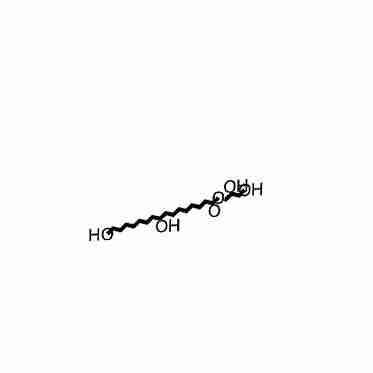 O=C(CCCCCCCC(O)CCCCCCCO)OC[C@H](O)CO